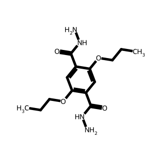 CCCOc1cc(C(=O)NN)c(OCCC)cc1C(=O)NN